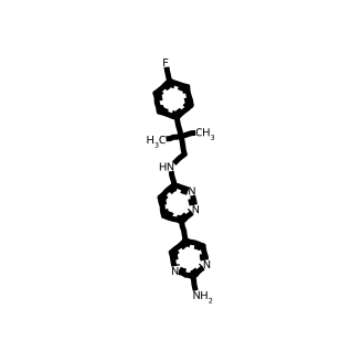 CC(C)(CNc1ccc(-c2cnc(N)nc2)nn1)c1ccc(F)cc1